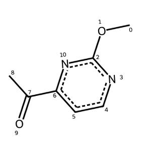 COc1nccc(C(C)=O)n1